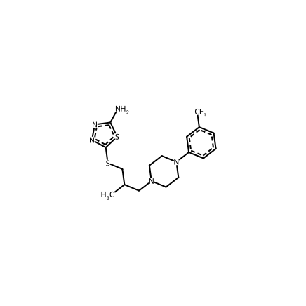 CC(CSc1nnc(N)s1)CN1CCN(c2cccc(C(F)(F)F)c2)CC1